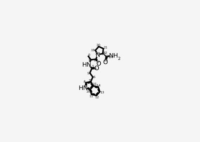 CC(NC(=O)CCc1c[nH]c2ccccc12)C(=O)N1CCC[C@H]1C(N)=O